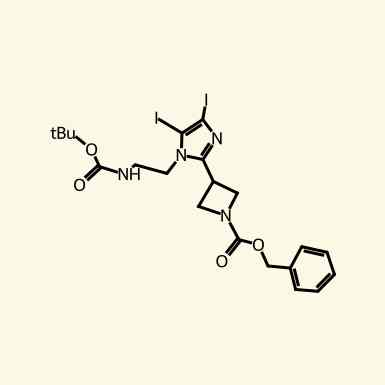 CC(C)(C)OC(=O)NCCn1c(C2CN(C(=O)OCc3ccccc3)C2)nc(I)c1I